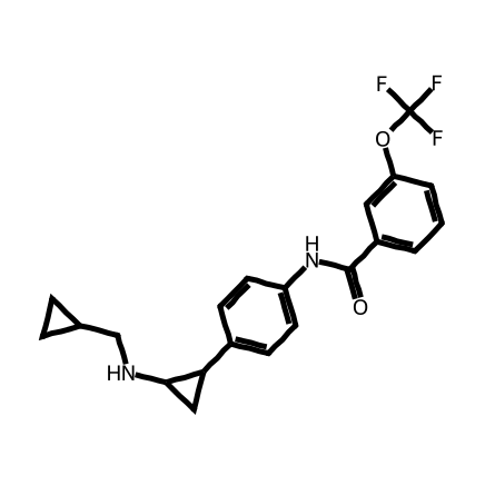 O=C(Nc1ccc(C2CC2NCC2CC2)cc1)c1cccc(OC(F)(F)F)c1